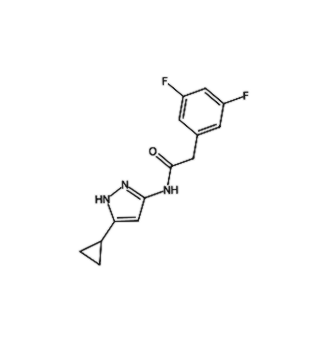 O=C(Cc1cc(F)cc(F)c1)Nc1cc(C2CC2)[nH]n1